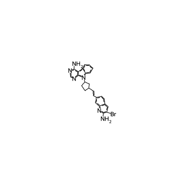 Nc1nc2cc(/C=C/C3CCC(n4c5ccccc5c5c(N)ncnc54)C3)ccc2cc1Br